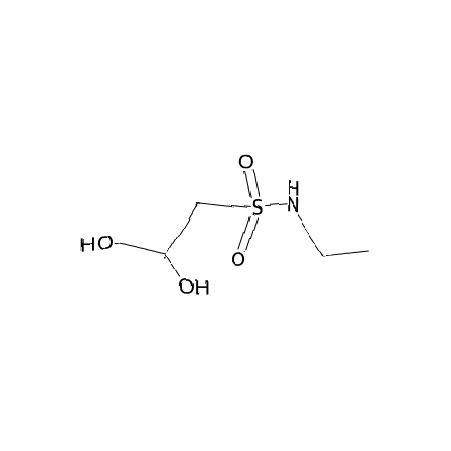 CCNS(=O)(=O)C[C](O)O